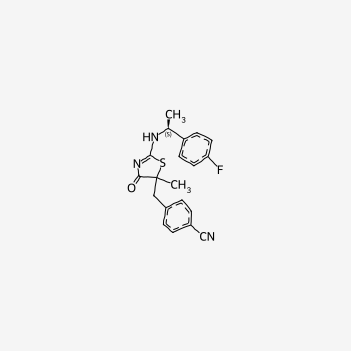 C[C@H](NC1=NC(=O)C(C)(Cc2ccc(C#N)cc2)S1)c1ccc(F)cc1